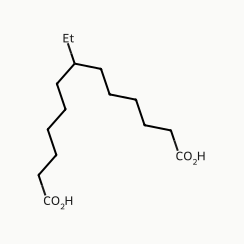 CCC(CCCCCC(=O)O)CCCCCC(=O)O